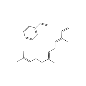 C=C/C(C)=C/C/C=C(\C)CCC=C(C)C.C=Cc1ccccc1